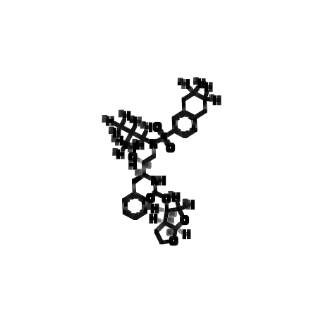 [2H]C([2H])([2H])C([2H])(C([2H])([2H])[2H])C([2H])([2H])N(C[C@@H](O)[C@H](Cc1ccccc1)NC(=O)O[C@]1([2H])[C@@H]2CCO[C@@H]2OC1([2H])[2H])S(=O)(=O)c1ccc2c(c1)CC([2H])([2H])C([2H])([2H])C2